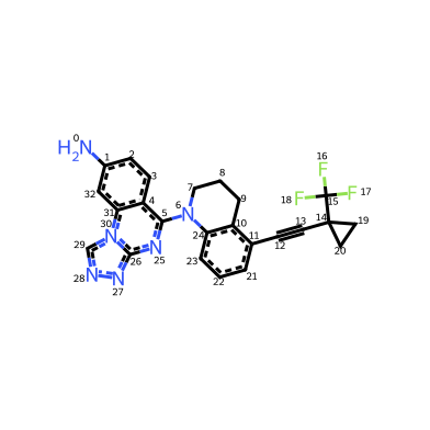 Nc1ccc2c(N3CCCc4c(C#CC5(C(F)(F)F)CC5)cccc43)nc3nncn3c2c1